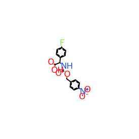 O=C(NC(C(=O)O)c1ccc(F)cc1)OCc1ccc([N+](=O)[O-])cc1